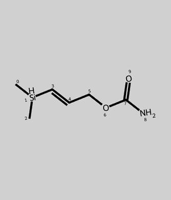 C[SiH](C)C=CCOC(N)=O